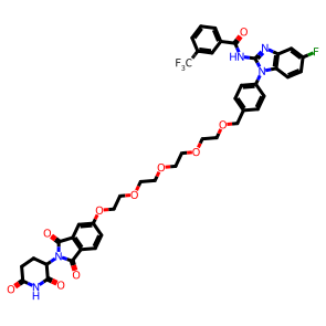 O=C1CCC(N2C(=O)c3ccc(OCCOCCOCCOCCOCc4ccc(-n5c(NC(=O)c6cccc(C(F)(F)F)c6)nc6cc(F)ccc65)cc4)cc3C2=O)C(=O)N1